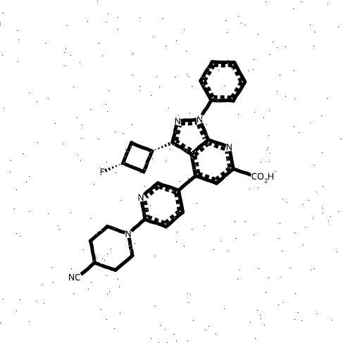 N#CC1CCN(c2ccc(-c3cc(C(=O)O)nc4c3c([C@H]3C[C@@H](F)C3)nn4-c3ccccc3)cn2)CC1